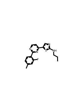 CCCNc1ncc(-c2ccnc(-c3ccc(C)cc3F)n2)s1